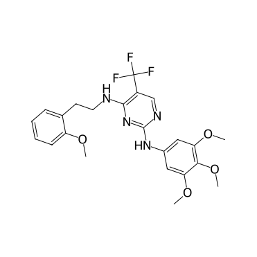 COc1ccccc1CCNc1nc(Nc2cc(OC)c(OC)c(OC)c2)ncc1C(F)(F)F